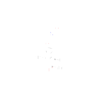 CCCCC[C@@]12CC[C@](O)(CCC)C[C@H]1CCc1cc(OCCN3CCOCC3)ccc12